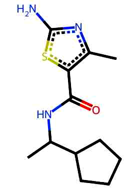 Cc1nc(N)sc1C(=O)NC(C)C1CCCC1